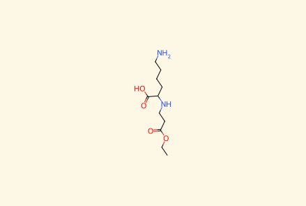 CCOC(=O)CCNC(CCCCN)C(=O)O